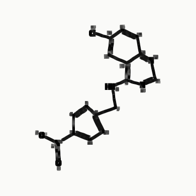 O=[N+]([O-])c1ccc(CNc2ncnc3ccc(Cl)cc23)cc1